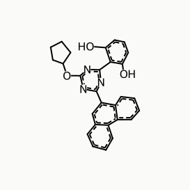 Oc1cccc(O)c1-c1nc(OC2CCCC2)nc(-c2cc3ccccc3c3ccccc23)n1